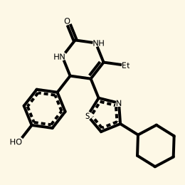 CCC1=C(c2nc(C3CCCCC3)cs2)C(c2ccc(O)cc2)NC(=O)N1